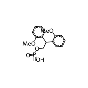 COc1ccccc1C(CO[PH](=O)O)c1ccccc1OC